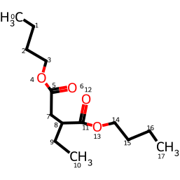 CCCCOC(=O)CC(CC)C(=O)OCCCC